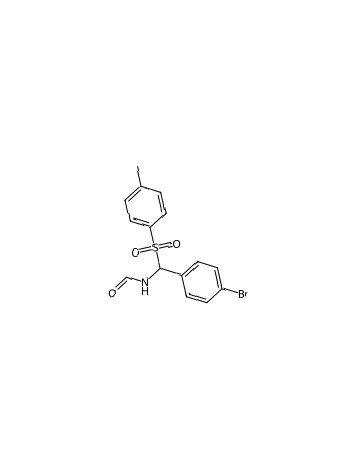 Cc1ccc(S(=O)(=O)C(NC=O)c2ccc(Br)cc2)cc1